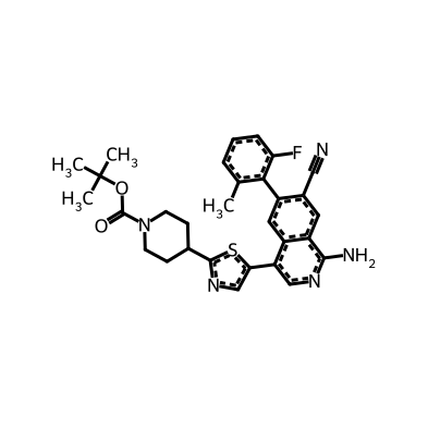 Cc1cccc(F)c1-c1cc2c(-c3cnc(C4CCN(C(=O)OC(C)(C)C)CC4)s3)cnc(N)c2cc1C#N